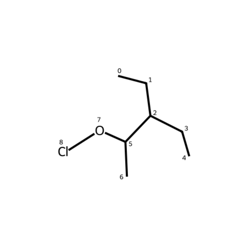 CCC(CC)C(C)OCl